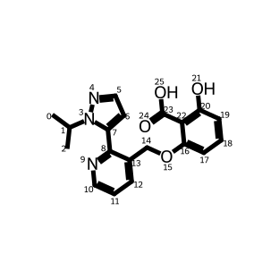 CC(C)n1nccc1-c1ncccc1COc1cccc(O)c1C(=O)O